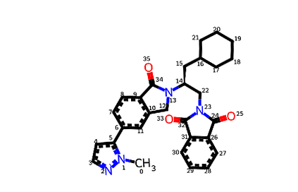 Cn1nccc1-c1ccc2c(c1)CN([C@@H](CC1CCCCC1)CN1C(=O)c3ccccc3C1=O)C2=O